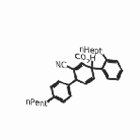 CCCCCCCc1ccccc1C1(C(=O)O)C=CC(c2ccc(CCCCC)cc2)C(C#N)=C1